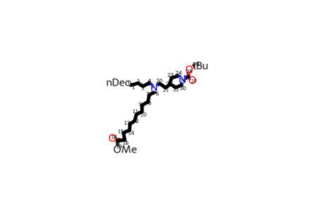 CCCCCCCCCCCCCCN(CCCCCCCCCCCC(=O)OC)CCC1CCN(C(=O)OC(C)(C)C)CC1